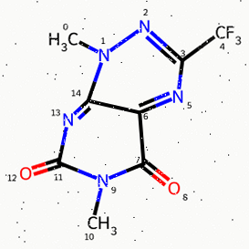 Cn1nc(C(F)(F)F)nc2c(=O)n(C)c(=O)nc1-2